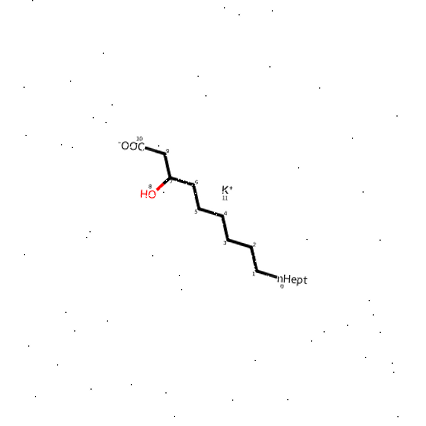 CCCCCCCCCCCCCC(O)CC(=O)[O-].[K+]